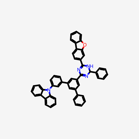 c1ccc(-c2cc(C3=NC(c4ccccc4)NC(c4ccc5c(c4)oc4ccccc45)=N3)cc(-c3cccc(-n4c5ccccc5c5ccccc54)c3)c2)cc1